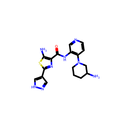 Nc1sc(-c2cn[nH]c2)nc1C(=O)Nc1cnccc1N1CCCC(N)C1